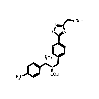 CCCCCCCCCCCc1noc(-c2ccc(CN(C(=O)O)[C@@H](C)c3ccc(C(F)(F)F)cc3)cc2)n1